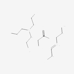 CCC(=O)O.CCCCCCCCCCCCN=CCC(=O)O.OCCN(CCO)CCO